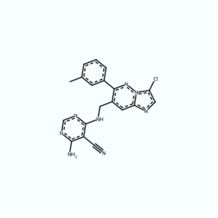 Cc1cccc(-c2nn3c(Cl)cnc3cc2CNc2ncnc(N)c2C#N)c1